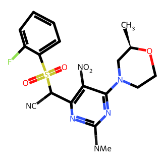 CNc1nc(C(C#N)S(=O)(=O)c2ccccc2F)c([N+](=O)[O-])c(N2CCO[C@H](C)C2)n1